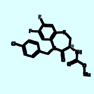 CC(C)(C)OC(=O)N[C@H]1CSc2cc(F)c(F)cc2N(Cc2ccc(Cl)cc2)C1=O